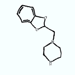 [CH]1CNCCN1CC1Oc2ccccc2O1